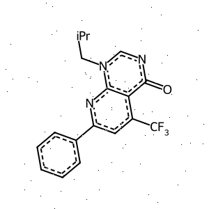 CC(C)Cn1cnc(=O)c2c(C(F)(F)F)cc(-c3ccccc3)nc21